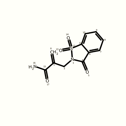 C=C(CN1C(=O)c2ccccc2S1(=O)=O)C(N)=O